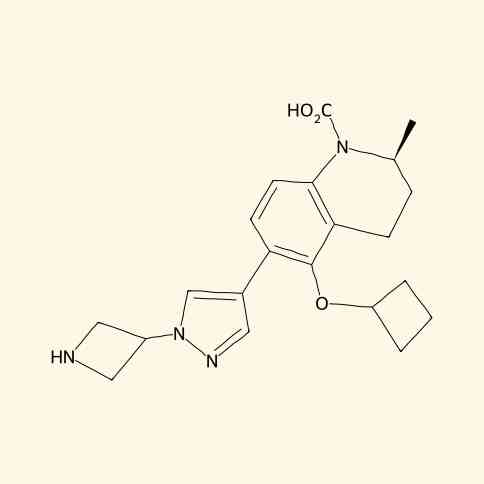 C[C@H]1CCc2c(ccc(-c3cnn(C4CNC4)c3)c2OC2CCC2)N1C(=O)O